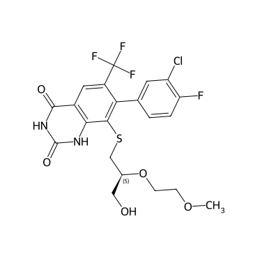 COCCO[C@@H](CO)CSc1c(-c2ccc(F)c(Cl)c2)c(C(F)(F)F)cc2c(=O)[nH]c(=O)[nH]c12